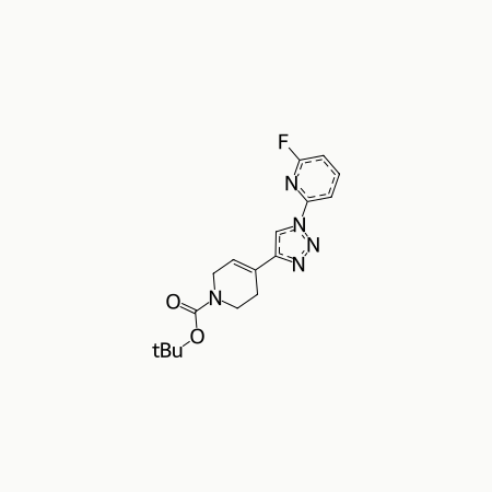 CC(C)(C)OC(=O)N1CC=C(c2cn(-c3cccc(F)n3)nn2)CC1